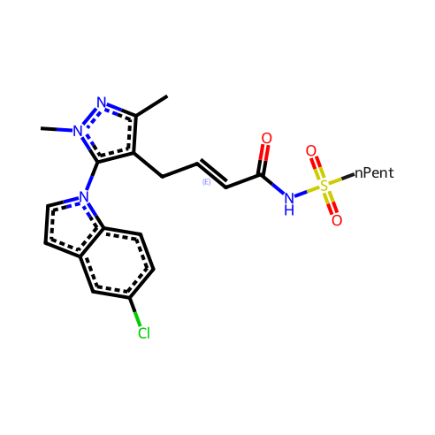 CCCCCS(=O)(=O)NC(=O)/C=C/Cc1c(C)nn(C)c1-n1ccc2cc(Cl)ccc21